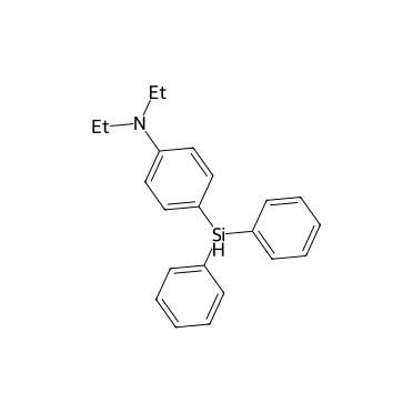 CCN(CC)c1ccc([SiH](c2ccccc2)c2ccccc2)cc1